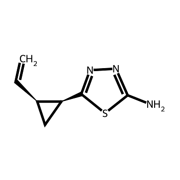 C=C[C@@H]1C[C@@H]1c1nnc(N)s1